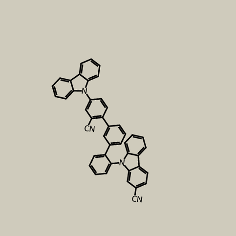 N#Cc1ccc2c3ccccc3n(-c3ccccc3-c3cccc(-c4ccc(-n5c6ccccc6c6ccccc65)cc4C#N)c3)c2c1